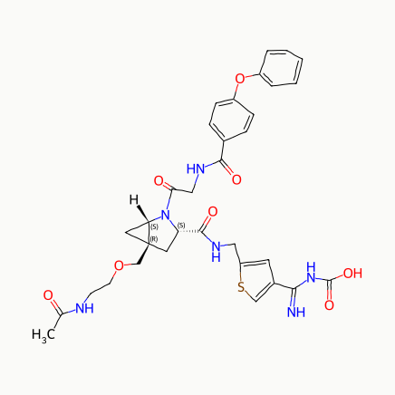 CC(=O)NCCOC[C@@]12C[C@@H]1N(C(=O)CNC(=O)c1ccc(Oc3ccccc3)cc1)[C@H](C(=O)NCc1cc(C(=N)NC(=O)O)cs1)C2